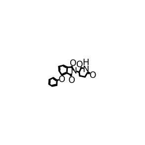 O=C1CCC(N2C(=O)c3cccc(Oc4ccccc4)c3C2=O)C(=O)N1